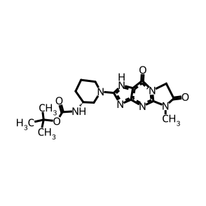 CN1C(=O)Cn2c1nc1nc(N3CCC[C@@H](NC(=O)OC(C)(C)C)C3)[nH]c1c2=O